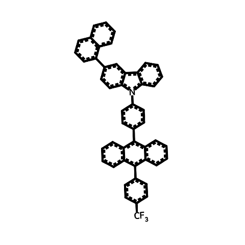 FC(F)(F)c1ccc(-c2c3ccccc3c(-c3ccc(-n4c5ccccc5c5cc(-c6cccc7ccccc67)ccc54)cc3)c3ccccc23)cc1